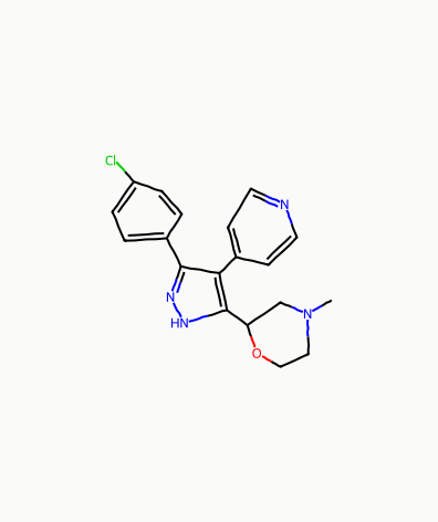 CN1CCOC(c2[nH]nc(-c3ccc(Cl)cc3)c2-c2ccncc2)C1